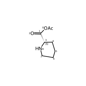 CC(=O)OC(=O)[C@@H]1CCCCN1